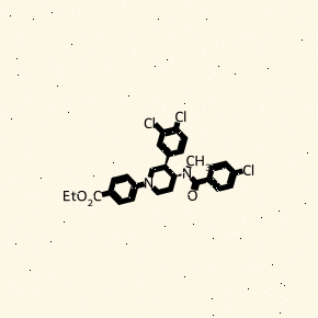 CCOC(=O)c1ccc(N2CC[C@@H](N(C)C(=O)c3ccc(Cl)cc3)[C@H](c3ccc(Cl)c(Cl)c3)C2)cc1